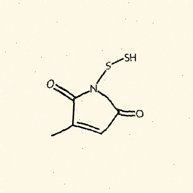 CC1=CC(=O)N(SS)C1=O